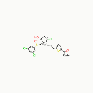 COC(=O)c1ccc(CCC[C@@H]2[C@@H](C[S+]([O-])c3cc(Cl)cc(Cl)c3)[C@H](O)C[C@H]2Cl)s1